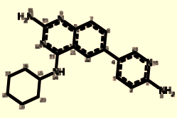 Nc1ccc(-c2ccc3nc(N)nc(NC4CCCCC4)c3c2)cn1